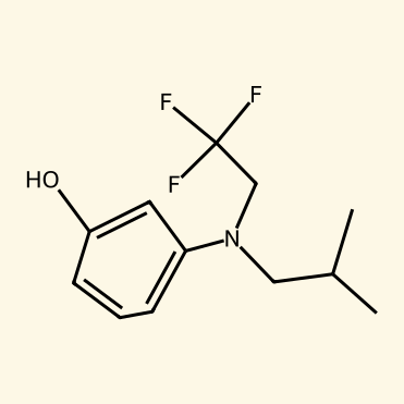 CC(C)CN(CC(F)(F)F)c1cccc(O)c1